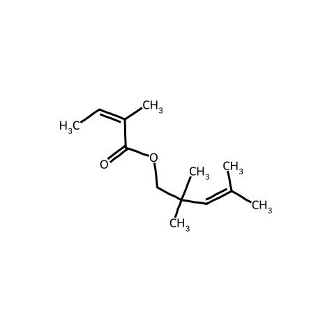 CC=C(C)C(=O)OCC(C)(C)C=C(C)C